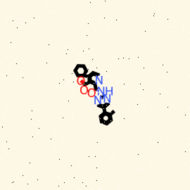 Cc1ccccc1-c1cnc(NC(=O)c2nccc3c2C(=O)OC32CCCCC2)nc1